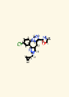 Clc1ccc2c(c1)-c1nn(CC3CC3)cc1Cc1c(-c3ncco3)ncn1-2